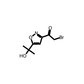 CC(C)(O)c1cc(C(=O)CBr)no1